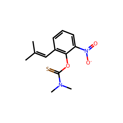 CC(C)=Cc1cccc([N+](=O)[O-])c1OC(=S)N(C)C